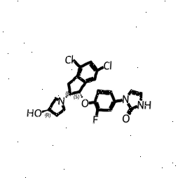 O=c1[nH]ccn1-c1ccc(O[C@H]2c3cc(Cl)cc(Cl)c3C[C@H]2N2CC[C@@H](O)C2)c(F)c1